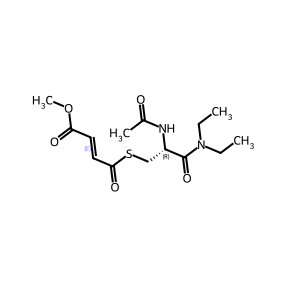 CCN(CC)C(=O)[C@H](CSC(=O)/C=C/C(=O)OC)NC(C)=O